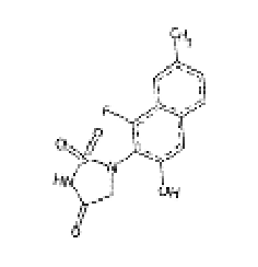 Cc1ccc2cc(O)c(N3CC(=O)NS3(=O)=O)c(F)c2c1